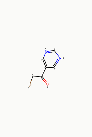 O=C(CBr)c1cncnc1